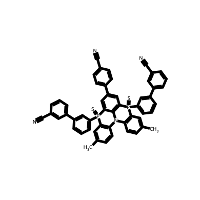 Cc1ccc2c(c1)P(=S)(c1cccc(-c3cccc(C#N)c3)c1)c1cc(-c3ccc(C#N)cc3)cc3c1N2c1ccc(C)cc1P3(=S)c1cccc(-c2cccc(C#N)c2)c1